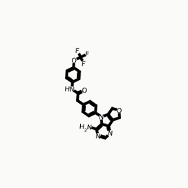 Nc1ncnc2c3c(n(-c4ccc(CC(=O)Nc5ccc(OC(F)(F)F)cc5)cc4)c12)COC3